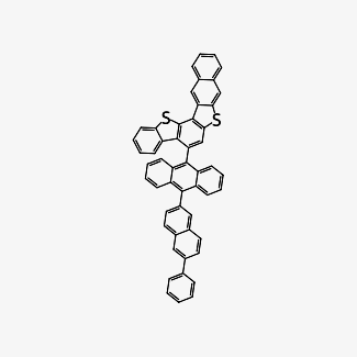 c1ccc(-c2ccc3cc(-c4c5ccccc5c(-c5cc6sc7cc8ccccc8cc7c6c6sc7ccccc7c56)c5ccccc45)ccc3c2)cc1